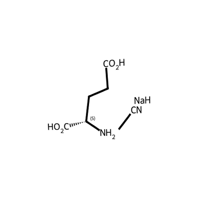 CC#N.N[C@@H](CCC(=O)O)C(=O)O.[NaH]